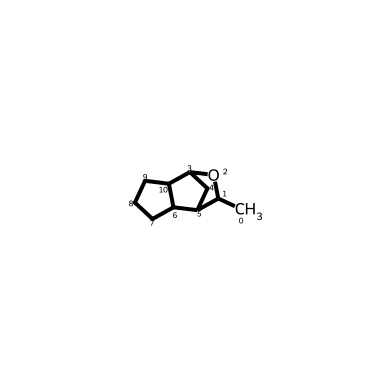 CC1OC2CC1C1CCCC21